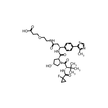 Cc1ncsc1-c1ccc([C@H](CC(=O)NCCOCCC(=O)O)NC(=O)[C@@H]2C[C@@H](O)CN2C(=O)[C@@H](NC(=O)C2(F)CC2)C(C)(C)C)cc1